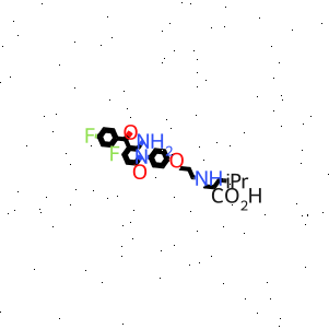 CC(C)C[C@H](CNCCCOc1ccc(-n2c(N)c(C(=O)c3ccc(F)cc3F)ccc2=O)cc1)C(=O)O